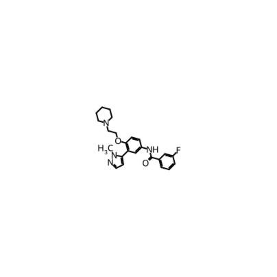 Cn1nccc1-c1cc(NC(=O)c2cccc(F)c2)ccc1OCCN1CCCCC1